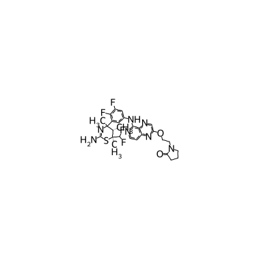 C[C@H]1[C@@](C)(c2cc(Nc3nccc4nc(OCCN5CCCC5=O)cnc34)cc(F)c2F)N=C(N)S[C@]1(C)C(F)F